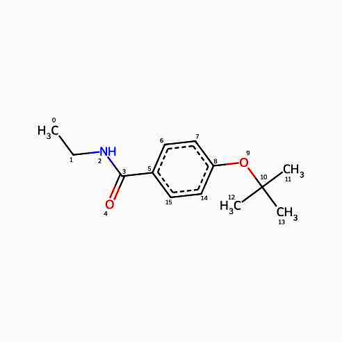 CCNC(=O)c1ccc(OC(C)(C)C)cc1